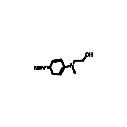 CN(CCO)C1=CCC(=[N+]=[N-])C=C1